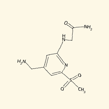 CS(=O)(=O)c1cc(CN)cc(NCC(N)=O)n1